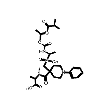 CC(OC(=O)NC(C)P(=O)(O)CC1(C(=O)NC(C)C(=O)O)CCN(c2ccccc2)CC1)OC(=O)C(C)C